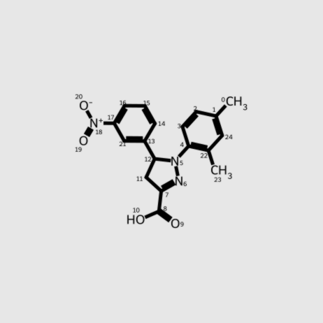 Cc1ccc(N2N=C(C(=O)O)CC2c2cccc([N+](=O)[O-])c2)c(C)c1